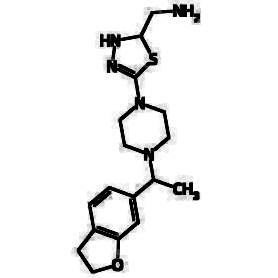 CC(c1ccc2c(c1)OCC2)N1CCN(C2=NNC(CN)S2)CC1